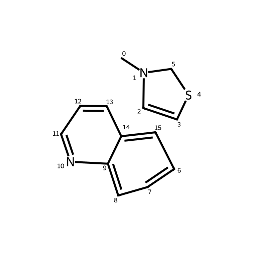 CN1C=CSC1.c1ccc2ncccc2c1